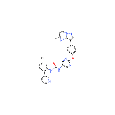 Cc1ccn2ncc(-c3ccc(Oc4ncc(NC(=O)Nc5cc(C(F)(F)F)ccc5-c5cccnc5)cn4)cc3)c2n1